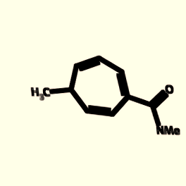 CNC(=O)C1=CC=CC(C)C=C1